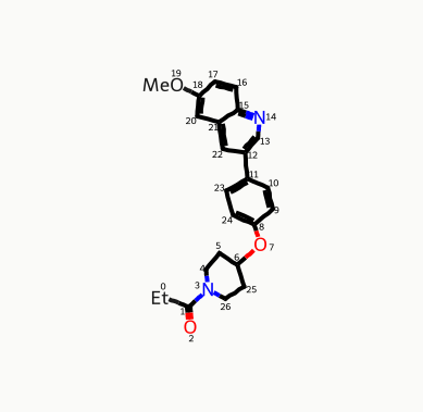 CCC(=O)N1CCC(Oc2ccc(-c3cnc4ccc(OC)cc4c3)cc2)CC1